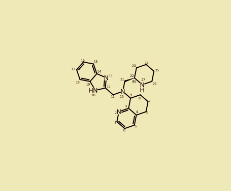 c1cnc2c(c1)CCCC2N(Cc1nc2ccccc2[nH]1)C[C@H]1CCCCN1